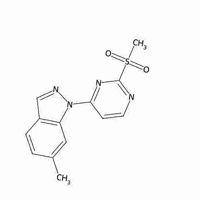 Cc1ccc2cnn(-c3ccnc(S(C)(=O)=O)n3)c2c1